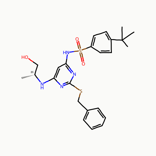 C[C@H](CO)Nc1cc(NS(=O)(=O)c2ccc(C(C)(C)C)cc2)nc(SCc2ccccc2)n1